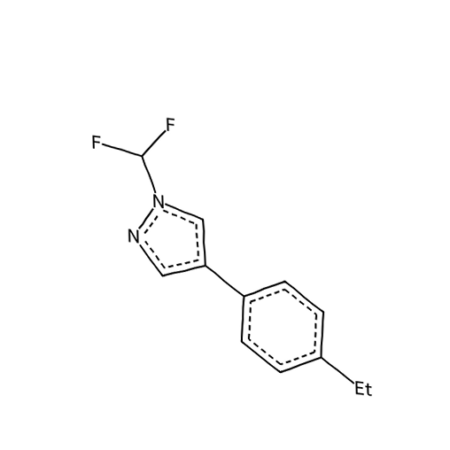 CCc1ccc(-c2cnn(C(F)F)c2)cc1